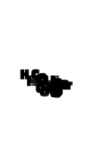 C=C1CCC(N2C(=O)c3cccc4c(Br)cnc2c34)C(=O)N1